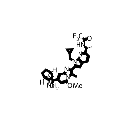 COc1cc(C(=O)N2[C@H]3CC[C@@H]2[C@H](N)C3)cc2nc(-c3cc4ccc([C@@H](C)NC(=O)C(F)(F)F)nc4n3CC3CC3)c(C)n12